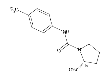 O=C[C@H]1CCCN1C(=O)Nc1ccc(C(F)(F)F)cc1